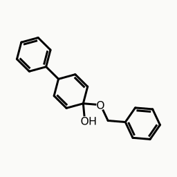 OC1(OCc2ccccc2)C=CC(c2ccccc2)C=C1